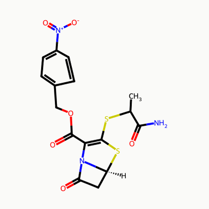 CC(SC1=C(C(=O)OCc2ccc([N+](=O)[O-])cc2)N2C(=O)C[C@@H]2S1)C(N)=O